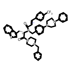 O=C([C@H](Cc1csc2ccccc12)N(Cc1ccc(N2CCN(c3ccccc3)CC2)cc1)C(=O)/C=C/c1ccc(C(F)(F)F)cc1)N1CCN(Cc2ccccc2)CC1